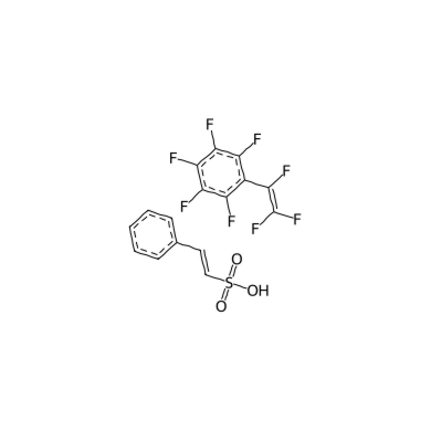 FC(F)=C(F)c1c(F)c(F)c(F)c(F)c1F.O=S(=O)(O)C=Cc1ccccc1